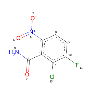 NC(=O)c1c([N+](=O)[O-])ccc(F)c1Cl